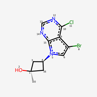 C[C@]1(O)C[C@@H](n2cc(Br)c3c(Cl)ncnc32)C1